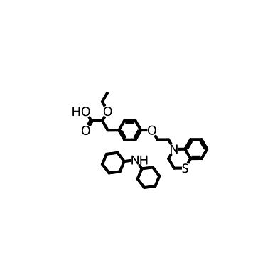 C1CCC(NC2CCCCC2)CC1.CCOC(Cc1ccc(OCCN2CCSc3ccccc32)cc1)C(=O)O